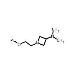 CC(C)OCCN1CC(N(C)C)C1